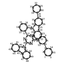 c1ccc(-c2cccc(-c3nc(-c4ccccc4-n4c5ccccc5c5ccc(-c6ccccc6)cc54)nc(-n4c5ccccc5c5ccccc54)n3)c2)cc1